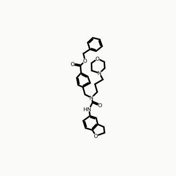 O=C(OCc1ccccc1)c1ccc(CN(CCCN2CCOCC2)C(=O)Nc2ccc3c(c2)CCO3)cc1